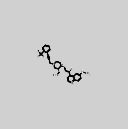 COc1ccc2nccc([C@H](F)CC[C@@H]3CCN(CC#Cc4ccccc4C(F)(F)F)C[C@@H]3CO)c2c1